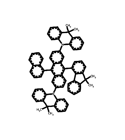 CC1(C)c2ccccc2N(c2ccc3c(-c4cccc5ccccc45)c4cc(N5c6ccccc6C(C)(C)c6ccccc65)ccc4c(-c4cccc5c4-c4ccccc4C5(C)C)c3c2)c2ccccc21